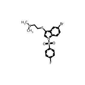 CN(C)CCSc1cn(S(=O)(=O)c2ccc(F)cc2)c2ccc(Br)cc12